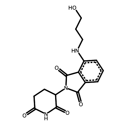 O=C1CCC(N2C(=O)c3cccc(NCCCO)c3C2=O)C(=O)N1